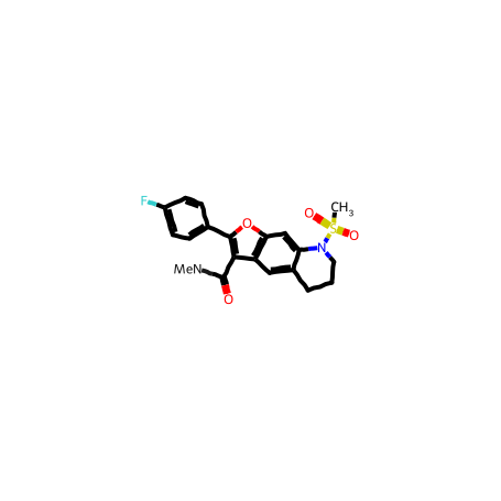 CNC(=O)c1c(-c2ccc(F)cc2)oc2cc3c(cc12)CCCN3S(C)(=O)=O